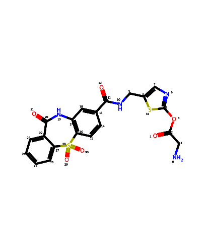 NCC(=O)Oc1ncc(CNC(=O)c2ccc3c(c2)NC(=O)c2ccccc2S3(=O)=O)s1